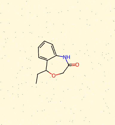 CCC1OCC(=O)Nc2ccccc21